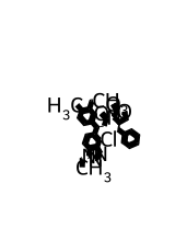 CCc1cc([C@H](CC(=O)N2C(=O)OC[C@H]2Cc2ccccc2)c2ccc3c(nnn3CC)c2Cl)ccc1C